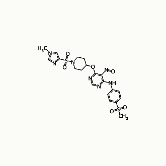 Cn1cnc(S(=O)(=O)N2CCC(Oc3ncnc(Nc4ccc(S(C)(=O)=O)cc4)c3N=O)CC2)c1